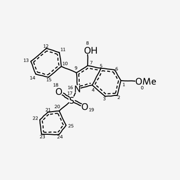 COc1ccc2c(c1)c(O)c(-c1ccccc1)n2S(=O)(=O)c1ccccc1